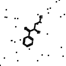 O=C(c1ccccc1)C(Br)CCCl